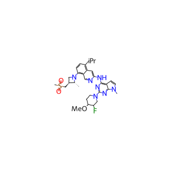 CO[C@H]1CCN(c2nc(Nc3cc4c(C(C)C)ccc(N5C[C@H](CS(C)(=O)=O)[C@H]5C)c4cn3)c3ccn(C)c3n2)C[C@H]1F